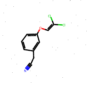 N#C[CH]c1cccc(OC=C(Cl)Cl)c1